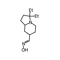 CCC1(CC)CCC2CC(C=NO)CCN21